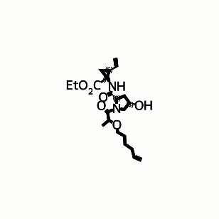 C=CCCCCOC(C)C(=O)N1C[C@@H](O)C[C@H]1C(=O)N[C@]1(C(=O)OCC)C[C@H]1C=C